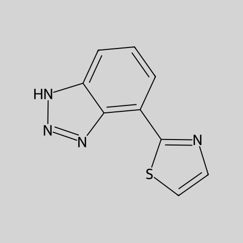 c1cc(-c2nccs2)c2nn[nH]c2c1